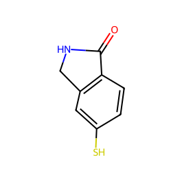 O=C1NCc2cc(S)ccc21